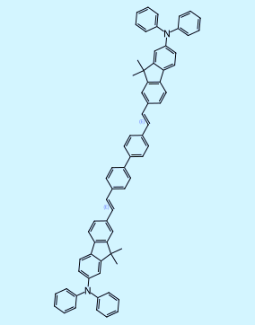 CC1(C)c2cc(/C=C/c3ccc(-c4ccc(/C=C/c5ccc6c(c5)C(C)(C)c5cc(N(c7ccccc7)c7ccccc7)ccc5-6)cc4)cc3)ccc2-c2ccc(N(c3ccccc3)c3ccccc3)cc21